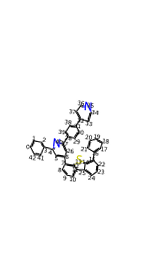 c1ccc(-c2cc(-c3cccc4c3sc3c(-c5ccccc5)cccc34)cc(-c3ccc(-c4ccncc4)cc3)n2)cc1